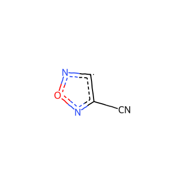 N#Cc1[c]non1